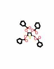 O=C(OC[C@H]1SC(OC(=O)c2ccccc2)[C@@H](OC(=O)c2ccccc2)[C@H]1OC(=O)c1ccccc1)c1ccccc1